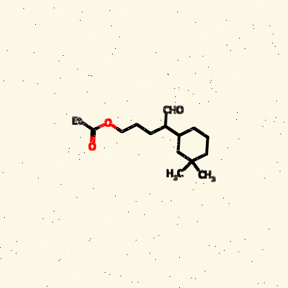 CCC(=O)OCCCC(C=O)C1CCCC(C)(C)C1